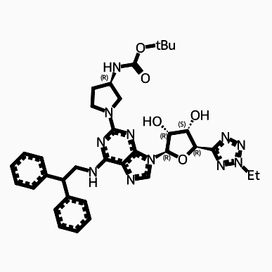 CCn1nnc([C@H]2O[C@@H](n3cnc4c(NCC(c5ccccc5)c5ccccc5)nc(N5CC[C@@H](NC(=O)OC(C)(C)C)C5)nc43)[C@H](O)[C@@H]2O)n1